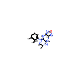 Cc1cccc(Nc2nc3nonc3nc2NC(C)C)c1C